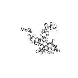 C=C(C)C(=O)N1CC2(CCN(c3nc(OC4CCN(CCOC)CC4)nc4c(OCC(F)(F)F)c(-c5c(C)ccc6[nH]ncc56)c(C5CC5)cc34)CC2)C1